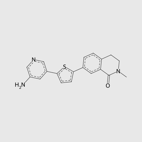 CN1CCc2ccc(-c3ccc(-c4cncc(N)c4)s3)cc2C1=O